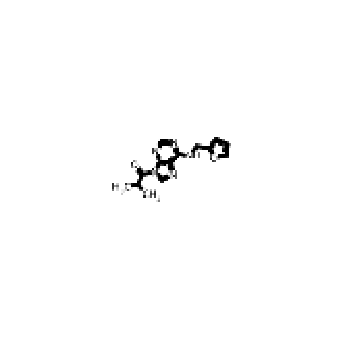 CC(C)C(=O)n1cnc2c(NCc3ccco3)ncnc21